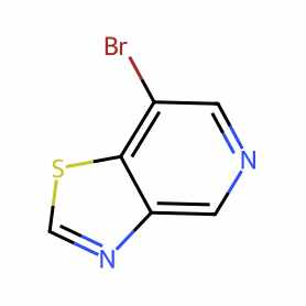 Brc1cncc2ncsc12